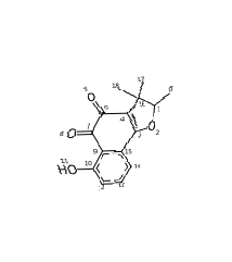 CC1OC2=C(C(=O)C(=O)c3c(O)cccc32)C1(C)C